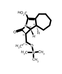 C[C@@H](O[Si](C)(C)C)[C@H]1C(=O)N2C(C(=O)O)=C3CCCCC[C@H]3[C@H]12